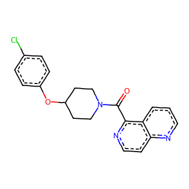 O=C(c1nccc2ncccc12)N1CCC(Oc2ccc(Cl)cc2)CC1